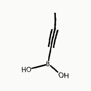 CC#CB(O)O